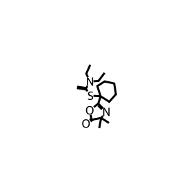 C=C(SC1(C2=NC(C)(C)C(=O)O2)CCCCC1)N(CC)CC